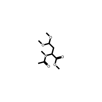 COC(=O)C(CC(OC)OC)N(C)C(C)=O